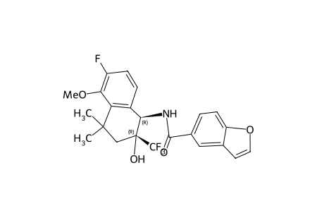 COc1c(F)ccc2c1C(C)(C)C[C@](O)(C(F)(F)F)[C@@H]2NC(=O)c1ccc2occc2c1